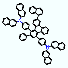 c1ccc(-c2cc(-c3ccc(N(c4ccc5ccccc5c4)c4ccc5ccccc5c4)cc3)c3c4ccccc4c4cc(-c5cccc6ccccc56)ccc4c3c2-c2ccc(N(c3ccc4ccccc4c3)c3ccc4ccccc4c3)cc2)cc1